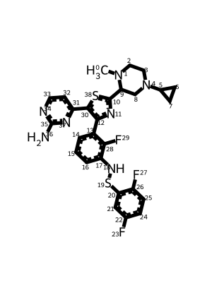 CN1CCN(C2CC2)CC1c1nc(-c2cccc(NSc3cc(F)ccc3F)c2F)c(-c2ccnc(N)n2)s1